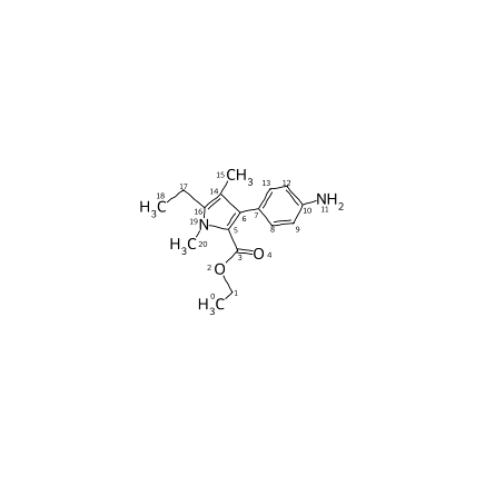 CCOC(=O)c1c(-c2ccc(N)cc2)c(C)c(CC)n1C